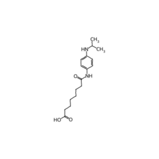 CC(C)Nc1ccc(NC(=O)CCCCCCC(=O)O)cc1